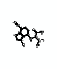 [C-]#[N+]c1ccc(N[C@@H](C(=O)O)[C@H](C)O)c2c(Cl)csc12